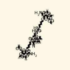 CC(=O)OC[C@H]1O[C@@H](OCCCCCNC(=O)NOCC(COC(=O)NCCCCCO[C@@H]2O[C@H](COC(C)=O)[C@H](OC(C)=O)[C@H](OC(C)=O)[C@H]2CC(N)=O)OP(OCCC#N)N(C(C)C)C(C)C)[C@H](CC(N)=O)[C@@H](OC(C)=O)[C@H]1OC(C)=O